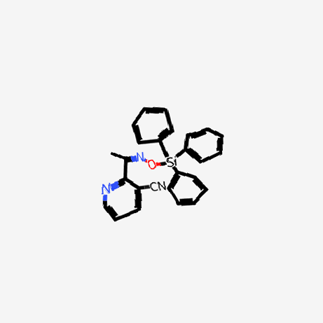 CC(=NO[Si](c1ccccc1)(c1ccccc1)c1ccccc1)c1ncccc1C#N